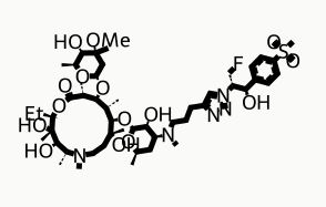 CC[C@H]1OC(=O)[C@H](C)[C@@H](O[C@H]2C[C@@](C)(OC)[C@@H](O)[C@H](C)O2)[C@H](C)[C@@H](O[C@@H]2O[C@H](C)C[C@H](N(C)CCCc3cn([C@H](CF)[C@H](O)c4ccc(S(C)(=O)=O)cc4)nn3)[C@H]2O)[C@](C)(O)CCN(C)[C@H](C)[C@@H](O)[C@]1(C)O